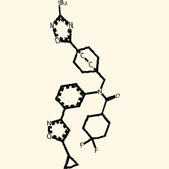 CC(C)(C)c1noc(C23CCC(CN(C(=O)C4CCC(F)(F)CC4)c4cccc(-c5cc(C6CC6)on5)c4)(CC2)CC3)n1